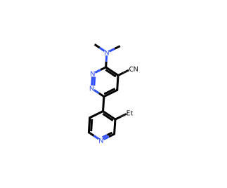 CCc1cnccc1-c1cc(C#N)c(N(C)C)nn1